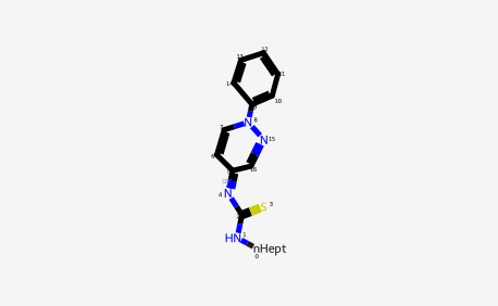 CCCCCCCNC(=S)/N=c1/ccn(-c2ccccc2)nc1